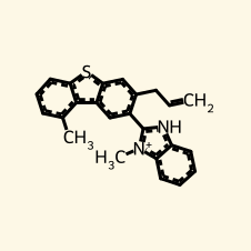 C=CCc1cc2sc3cccc(C)c3c2cc1-c1[nH]c2ccccc2[n+]1C